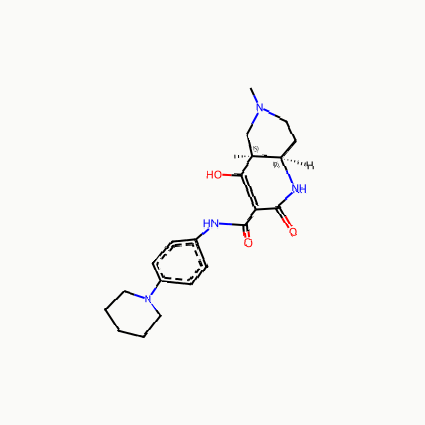 CN1CC[C@H]2NC(=O)C(C(=O)Nc3ccc(N4CCCCC4)cc3)=C(O)[C@@]2(C)C1